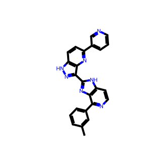 Cc1cccc(-c2nccc3[nH]c(-c4n[nH]c5ccc(-c6cccnc6)nc45)nc23)c1